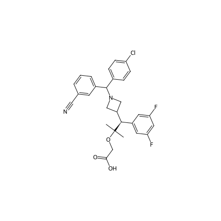 CC(C)(OCC(=O)O)[C@H](c1cc(F)cc(F)c1)C1CN(C(c2ccc(Cl)cc2)c2cccc(C#N)c2)C1